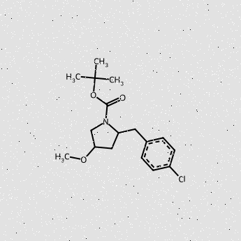 COC1CC(Cc2ccc(Cl)cc2)N(C(=O)OC(C)(C)C)C1